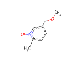 COCc1ccc(C)[n+]([O-])c1